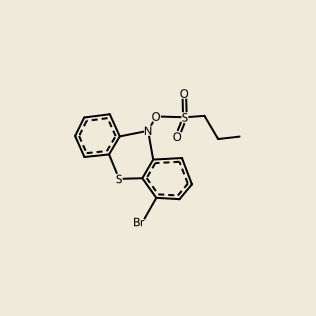 CCCS(=O)(=O)ON1c2ccccc2Sc2c(Br)cccc21